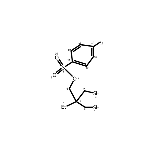 CCC(CS)(CS)COS(=O)(=O)c1ccc(C)cc1